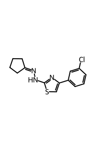 Clc1cccc(-c2csc(NN=C3CCCC3)n2)c1